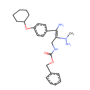 CN(N)/C(CNC(=O)OCc1ccccc1)=C(\N)c1ccc(OC2CCCCC2)cc1